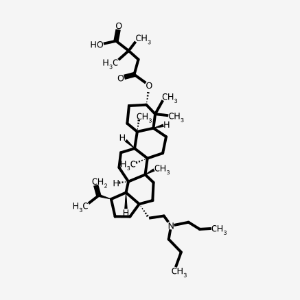 C=C(C)[C@@H]1CC[C@]2(CCN(CCC)CCC)CC[C@]3(C)[C@H](CC[C@@H]4[C@@]5(C)CC[C@H](OC(=O)CC(C)(C)C(=O)O)C(C)(C)[C@@H]5CC[C@]43C)[C@@H]12